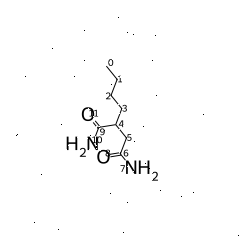 CCCCC(CC(N)=O)C(N)=O